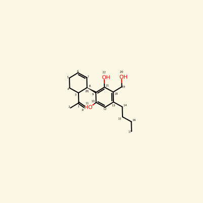 C=C(C)C1CCC=C[C@H]1c1c(O)cc(CCCC)c(CO)c1O